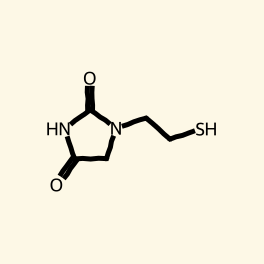 O=C1CN(CCS)C(=O)N1